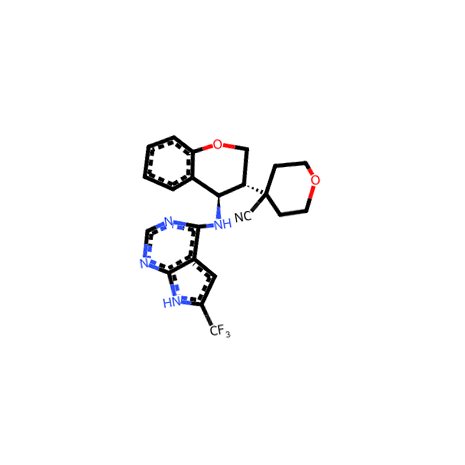 N#CC1([C@H]2COc3ccccc3[C@@H]2Nc2ncnc3[nH]c(C(F)(F)F)cc23)CCOCC1